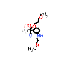 COCCCNC1=CC(C(C)(C#N)C(O)OCCCOC)CCC1